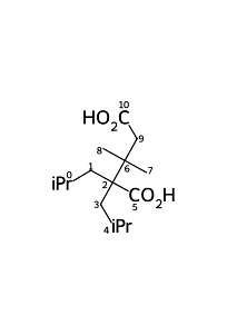 CC(C)CC(CC(C)C)(C(=O)O)C(C)(C)CC(=O)O